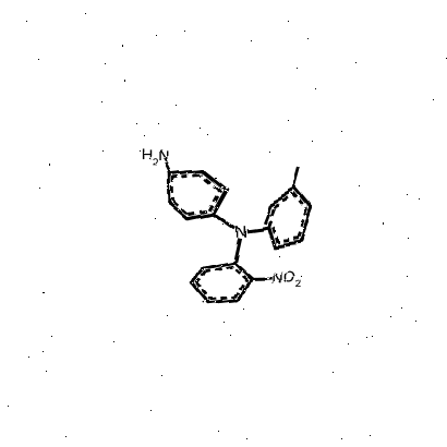 Cc1cccc(N(c2ccc(N)cc2)c2cc[c]cc2[N+](=O)[O-])c1